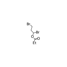 CCC(=O)OC(Br)CCBr